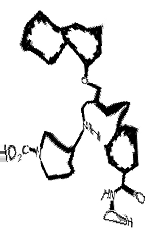 O=C(NO)c1ccc(C=C(CNC2CCN(C(=O)O)C2)COc2cccc3ccccc23)cc1